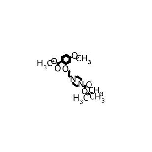 COC(=O)c1ccc(OC)cc1OCCN1CCN(C(=O)OC(C)(C)C)CC1